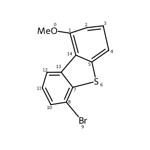 COc1cccc2sc3c(Br)cccc3c12